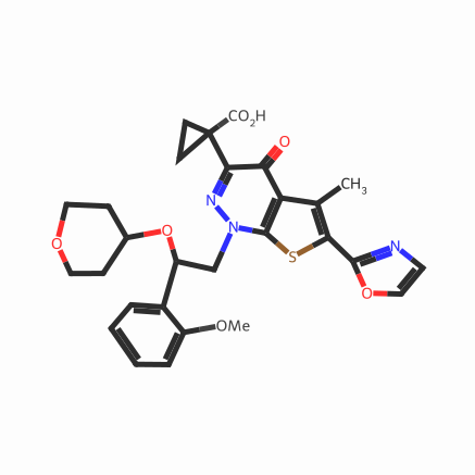 COc1ccccc1C(Cn1nc(C2(C(=O)O)CC2)c(=O)c2c(C)c(-c3ncco3)sc21)OC1CCOCC1